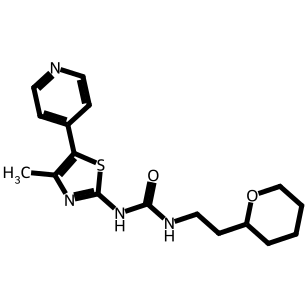 Cc1nc(NC(=O)NCCC2CCCCO2)sc1-c1ccncc1